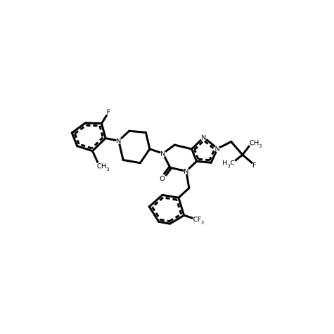 Cc1cccc(F)c1N1CCC(N2Cc3nn(CC(C)(C)F)cc3N(Cc3ccccc3C(F)(F)F)C2=O)CC1